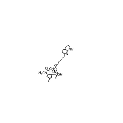 CN1C(=O)C(C)(C)c2c(C(C(=O)O)N3CC(OCCCCCc4ccc5c(n4)NCCC5)C3)cc(F)cc21